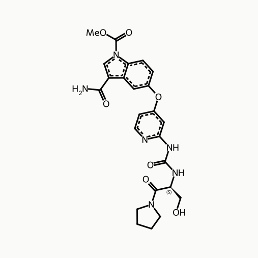 COC(=O)n1cc(C(N)=O)c2cc(Oc3ccnc(NC(=O)N[C@@H](CO)C(=O)N4CCCC4)c3)ccc21